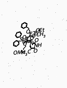 CCOP(C)(=O)C[C@@H](OCc1ccccc1)[C@H]1O[C@@H](n2cc(C)c(=O)[nH]c2=O)[C@H](OCCOC)[C@@H]1O[Si](c1ccccc1)(c1ccccc1)C(C)(C)C